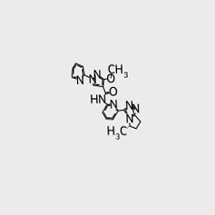 COc1nn(-c2ccccn2)cc1C(=O)Nc1cccc(-c2nnc3n2[C@@H](C)CC3)n1